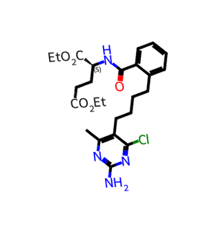 CCOC(=O)CC[C@H](NC(=O)c1ccccc1CCCCc1c(C)nc(N)nc1Cl)C(=O)OCC